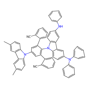 Cc1ccc2c(c1)c1cc(C)ccc1n2-c1cc(-c2ccccc2C#N)c(-n2c3ccc(Nc4ccccc4)cc3c3cc(N(c4ccccc4)c4ccccc4)ccc32)c(-c2ccccc2C#N)c1